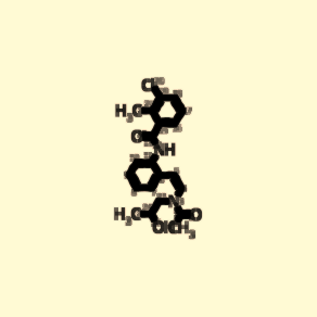 CC(=O)N(/C=C\c1ccccc1NC(=O)c1cccc(Cl)c1C)CC(C)O